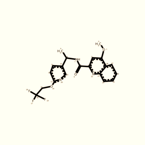 COc1cc(C(=O)NC(C)c2ccc(OCC(F)(F)F)nc2)nc2ccccc12